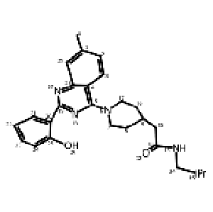 Cc1ccc2c(N3CCC(CC(=O)NCC(C)C)CC3)nc(-c3ccccc3O)nc2c1